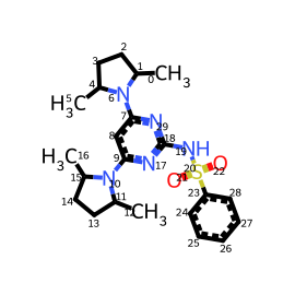 CC1CCC(C)N1c1cc(N2C(C)CCC2C)nc(NS(=O)(=O)c2ccccc2)n1